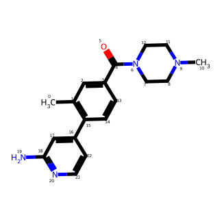 Cc1cc(C(=O)N2CCN(C)CC2)ccc1-c1[c]c(N)ncc1